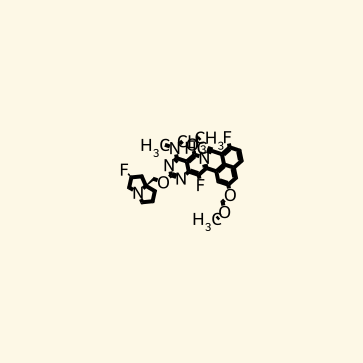 C#Cc1c(F)ccc2cc(OCOC)cc(-c3nc(OC)c4c(N(C)C)nc(OC[C@@]56CCCN5C[C@H](F)C6)nc4c3F)c12